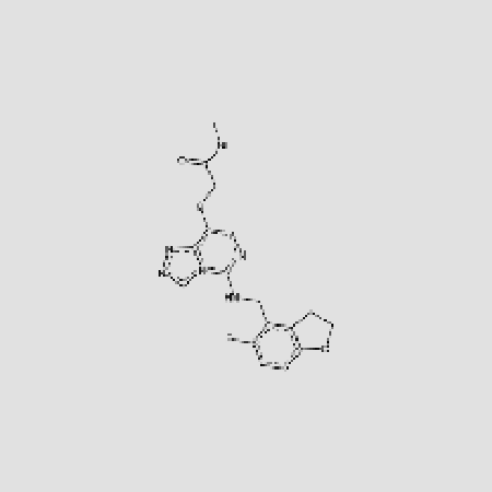 CNC(=O)COc1cnc(NCc2c(F)ccc3c2CCO3)n2cnnc12